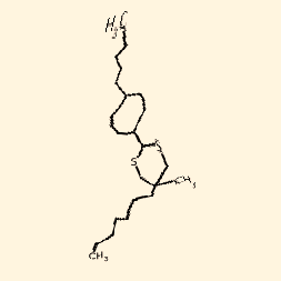 CCCCCCCC1(C)CSC(C2CCC(CCCCC)CC2)SC1